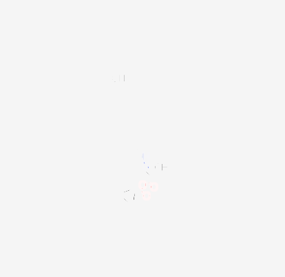 CCCCCCCCCCCCCCCCNC=C(CC)C(=O)OC(=O)c1ccccc1